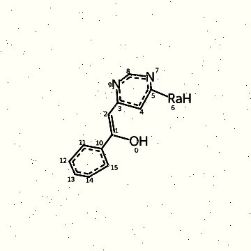 O/C(=C\c1c[c]([RaH])ncn1)c1ccccc1